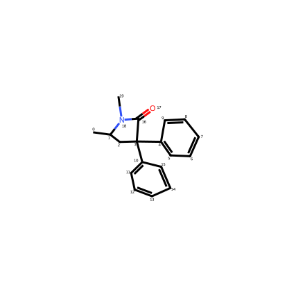 CC1CC(c2ccccc2)(c2ccccc2)C(=O)N1C